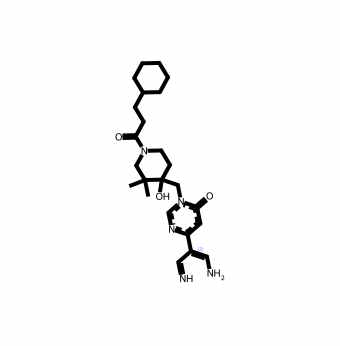 CC1(C)CN(C(=O)CCC2CCCCC2)CCC1(O)Cn1cnc(/C(C=N)=C/N)cc1=O